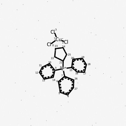 [Cl][Cu-]([Cl])[Cl].c1ccc([P+](c2ccccc2)(c2ccccc2)C2CCCC2)cc1